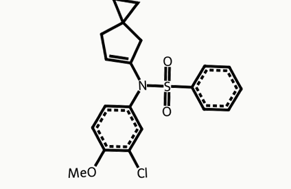 COc1ccc(N(C2=CCC3(CC3)C2)S(=O)(=O)c2ccccc2)cc1Cl